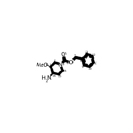 CO[C@@H]1CN(C(=O)OCc2ccccc2)CC[C@H]1N